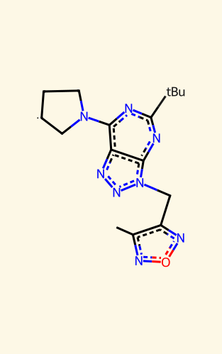 Cc1nonc1Cn1nnc2c(N3C[CH]CC3)nc(C(C)(C)C)nc21